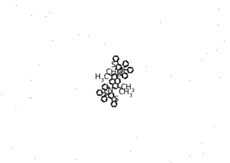 CC(C)c1cc(N2c3ccccc3[Si](c3ccccc3)(c3ccccc3)c3cc4c(cc32)sc2ccccc24)c2ccc3c(C(C)C)cc(N4c5ccccc5[Si](c5ccccc5)(c5ccccc5)c5cc6c(cc54)sc4ccccc46)c4ccc1c2c34